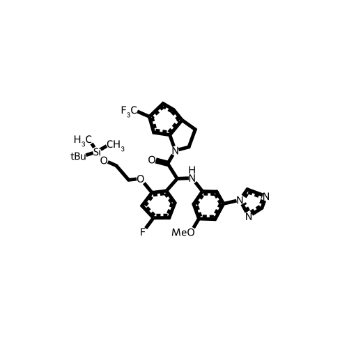 COc1cc(NC(C(=O)N2CCc3ccc(C(F)(F)F)cc32)c2ccc(F)cc2OCCO[Si](C)(C)C(C)(C)C)cc(-n2cncn2)c1